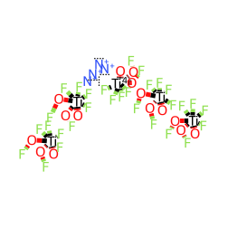 [N+].[N+].[N+].[N+].[O]=[Ti-4]([F])([F])([F])([F])([O]F)[O]F.[O]=[Ti]([F])([F])([F])([F])([O]F)[O]F.[O]=[Ti]([F])([F])([F])([F])([O]F)[O]F.[O]=[Ti]([F])([F])([F])([F])([O]F)[O]F.[O]=[Ti]([F])([F])([F])([F])([O]F)[O]F